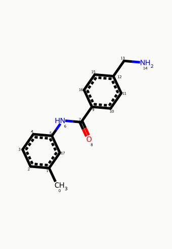 Cc1cccc(NC(=O)c2ccc(CN)cc2)c1